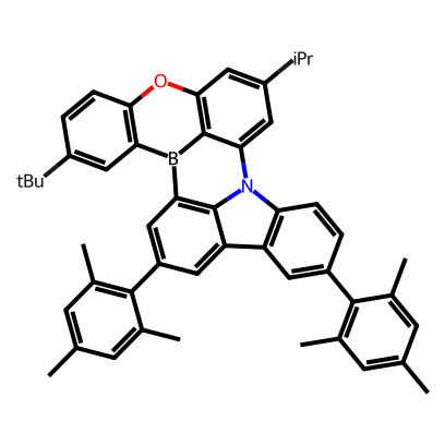 Cc1cc(C)c(-c2ccc3c(c2)c2cc(-c4c(C)cc(C)cc4C)cc4c2n3-c2cc(C(C)C)cc3c2B4c2cc(C(C)(C)C)ccc2O3)c(C)c1